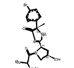 CC(=O)NC(C(=O)N1C[C@H](O)C[C@@H]1C1=NC(=O)[C@](C)(c2ccc(Br)cc2)N1)C(C)(C)C